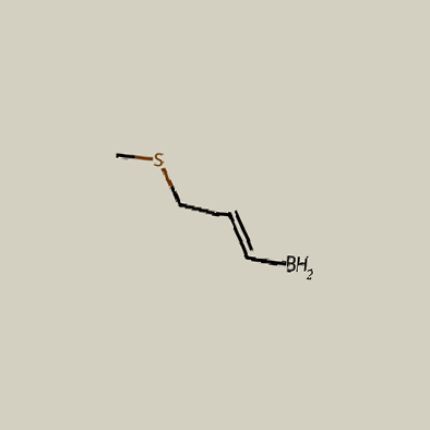 B/C=C/CSC